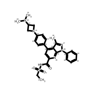 CCS(=O)(=O)NC(=O)c1cc(-c2ccc(N3CC(N(C)C)C3)cc2)c2c(C)nn(-c3ccccc3)c2n1